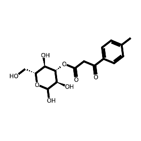 Cc1ccc(C(=O)CC(=O)O[C@H]2[C@H](O)[C@@H](CO)OC(O)[C@@H]2O)cc1